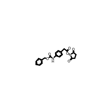 O=C(Cc1ccc(NC(=O)OCc2ccccc2)cc1)ON1C(=O)CCC1=O